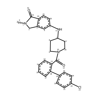 [2H]N1Cc2cc(NC3CCN(C(=O)c4ccccc4-c4ccc(Cl)cc4)CC3)ccc2C1=O